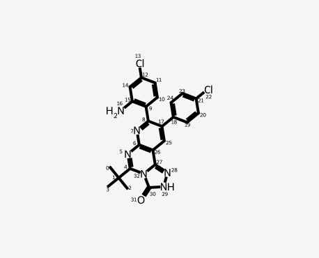 CC(C)(C)c1nc2nc(-c3ccc(Cl)cc3N)c(-c3ccc(Cl)cc3)cc2c2n[nH]c(=O)n12